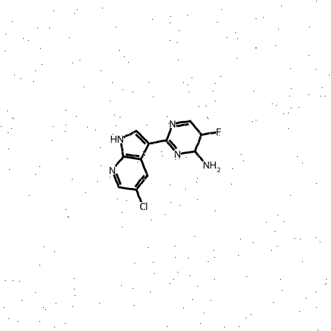 NC1N=C(c2c[nH]c3ncc(Cl)cc23)N=CC1F